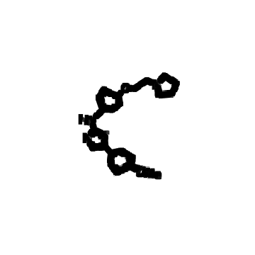 COc1ccc(-c2cnc(Nc3ccc(OCCN4CCCC4)cc3)s2)cc1